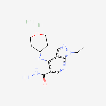 CCn1ncc2c(NC3CCOCC3)c(C(=O)NN)cnc21.Cl.Cl